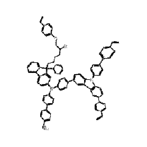 C=Cc1ccc(OCC(CC)CCCCC2(c3ccccc3)c3ccccc3-c3ccc(N(c4ccc(-c5ccc(C(C)(C)C)cc5)cc4)c4ccc(-c5ccc6c(c5)c5cc(-c7ccc(C=C)cc7)ccc5n6-c5ccc(-c6ccc(C=C)cc6)cc5)cc4)cc32)cc1